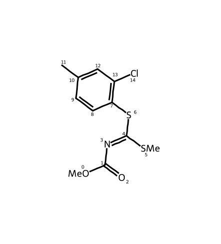 COC(=O)N=C(SC)Sc1ccc(C)cc1Cl